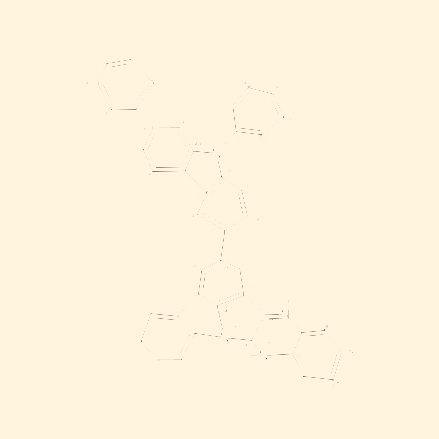 c1ccc(-c2ccc3c4cc(-c5cc6c7c(c5)c5ccccc5n7C5Nc7ccccc7N=C65)ccc4n(-c4ccccc4)c3c2)cc1